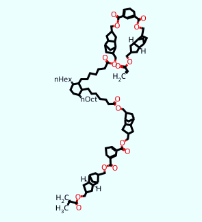 C=CC(=O)OCC1C[C@@H]2C3CC(CC3COC(=O)C3=CC(C(=O)OCC4CC5C6CC(COC(=O)CCCCCCC7C(CCCCCC)CCC(CCCCCCCC)C7CCCCCCC(=O)OCC7CC8CC7C7CC(COC(=O)C9=CCCC(C(=O)OCC%10CC%11CC%10[C@H]%10CC(COC(=O)C(=C)C)C[C@@H]%11%10)=C9)CC87)C(C6)C5C4)=CCC3)[C@@H]2C1